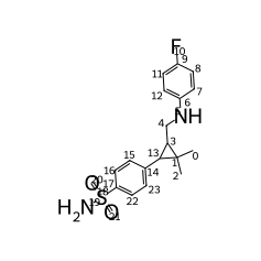 CC1(C)C(CNc2ccc(F)cc2)C1c1ccc(S(N)(=O)=O)cc1